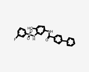 O=C(Nc1ccc(O)c(NS(=O)(=O)c2cccc(F)c2)c1)c1ccc(-c2ccccc2)cc1